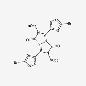 CCCCCCCCN1C(=O)C2=C(c3ccc(Br)s3)N(CCCCCCCC)C(=O)C2=C1c1ccc(Br)s1